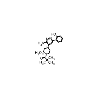 C[C@@H]1CN(c2cc(-c3ccccc3O)nnc2N)CCN1C(=O)C(C)(C)C